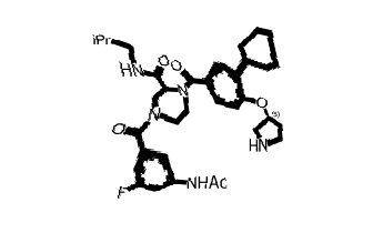 CC(=O)Nc1cc(F)cc(C(=O)N2CCN(C(=O)c3ccc(O[C@H]4CCNC4)c(C4CCCCC4)c3)C(C(=O)NCC(C)C)C2)c1